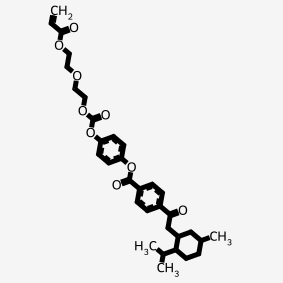 C=CC(=O)OCCOCCOC(=O)Oc1ccc(OC(=O)c2ccc(C(=O)CC3CC(C)CCC3C(C)C)cc2)cc1